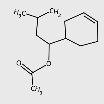 CC(=O)OC(CC(C)C)C1CC=CCC1